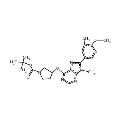 COc1ncc(-c2nc3c(OC4CCN(C(=O)OC(C)(C)C)C4)ncnc3n2C)cc1C